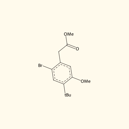 COC(=O)Cc1cc(OC)c(C(C)(C)C)cc1Br